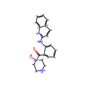 O=C(c1ccccc1Nc1ccc2ccccc2n1)[N+]1([O-])CCNCC1